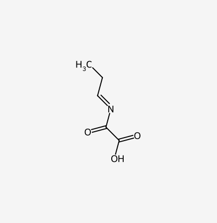 CCC=NC(=O)C(=O)O